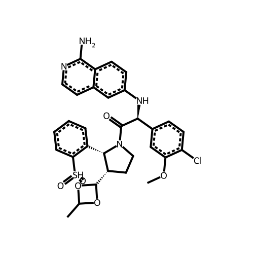 COc1cc([C@H](Nc2ccc3c(N)nccc3c2)C(=O)N2CC[C@H](C3OC(C)O3)[C@@H]2c2ccccc2[SH](=O)=O)ccc1Cl